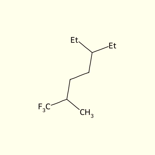 CCC(CC)CCC(C)C(F)(F)F